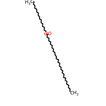 CCCCCCCCCCCCCCCCCCCCCCCCCCCCCCCCC(=O)OCCCCCCCCCCCCCCCCCC